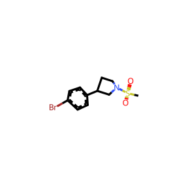 CS(=O)(=O)N1CCC(c2ccc(Br)cc2)C1